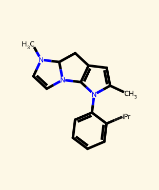 Cc1cc2c(n1-c1ccccc1C(C)C)N1C=CN(C)C1C2